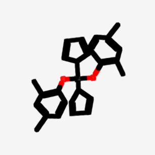 Cc1ccc([O][Zr]([O]c2ccc(C)cc2C)([CH]2C=CC=C2)[CH]2C=CC=C2)c(C)c1